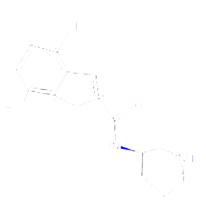 Cc1ccc(Cl)c2cc(C(=O)N[C@@H]3CCCNC3)sc12